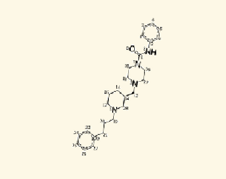 O=C(Nc1ccccc1)N1CCN(C[C@@H]2CCCN(CCCc3ccccc3)C2)CC1